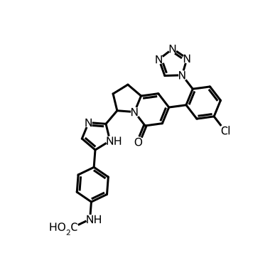 O=C(O)Nc1ccc(-c2cnc(C3CCc4cc(-c5cc(Cl)ccc5-n5cnnn5)cc(=O)n43)[nH]2)cc1